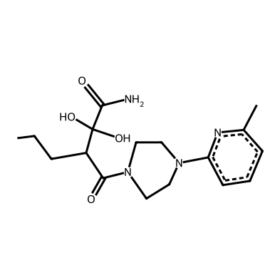 CCCC(C(=O)N1CCN(c2cccc(C)n2)CC1)C(O)(O)C(N)=O